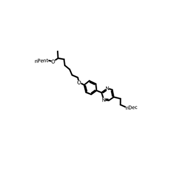 CCCCCCCCCCCCc1cnc(-c2ccc(OCCCCCC(C)OCCCCC)cc2)nc1